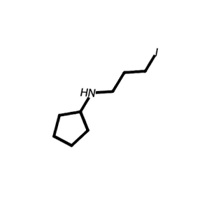 ICCCNC1CCCC1